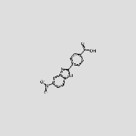 O=C(O)c1ccc(-c2nc3cc([N+](=O)[O-])ccc3[nH]2)cc1